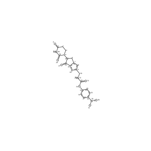 O=C1CCC(N2Cc3cc(CNC(=O)Oc4ccc([N+](=O)[O-])cc4)sc3C2=O)C(=O)N1